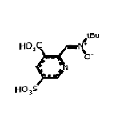 CC(C)(C)[N+]([O-])=Cc1ncc(S(=O)(=O)O)cc1C(=O)O